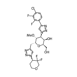 CO[C@@H]1[C@@H](n2cc(-c3ccc(Cl)c(F)c3F)nn2)[C@@H](O)[C@@H](CO)O[C@@H]1Cc1cn([C@@H]2CCOCC2(F)F)nn1